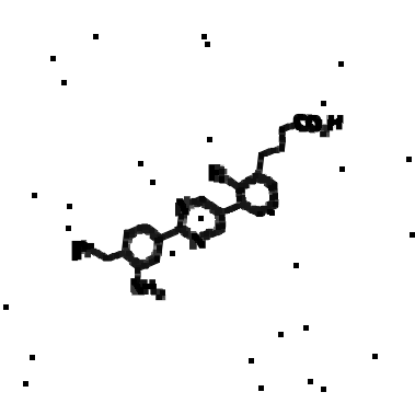 CCc1c(CCCC(=O)O)cccc1-c1cnc(-c2ccc(CC(C)C)c(N)c2)nc1